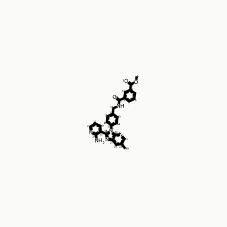 COC(=O)c1cccc(C(=O)NCc2ccc(-n3c(-c4cccnc4N)nc4cc(C)cnc43)cc2)c1